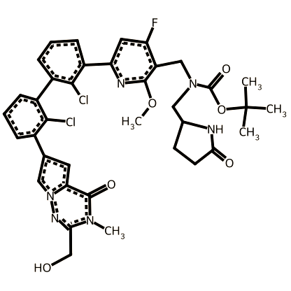 COc1nc(-c2cccc(-c3cccc(-c4cc5c(=O)n(C)c(CO)nn5c4)c3Cl)c2Cl)cc(F)c1CN(CC1CCC(=O)N1)C(=O)OC(C)(C)C